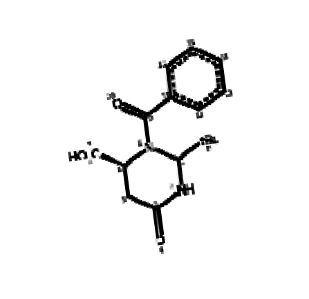 CC(C)(C)C1NC(=O)C[C@@H](C(=O)O)N1C(=O)c1ccccc1